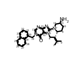 CC(C)=CCn1c(N2CCCC(N)C2)nc2ncn(Cc3cccc4ccccc34)c(=O)c21